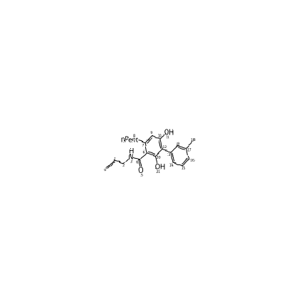 C=CCNC(=O)c1c(CCCCC)cc(O)c(-c2cccc(C)c2)c1O